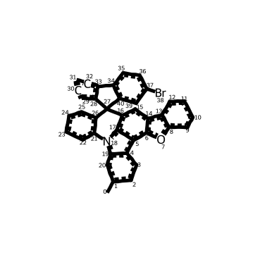 Cc1ccc2c3c4oc5ccccc5c4cc4c3n(c2c1)-c1ccccc1C41c2ccccc2-c2ccc(Br)cc21